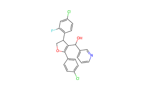 OC(C1=C(c2ccc(Cl)cc2)OCC1c1ccc(Cl)cc1F)c1cccnc1